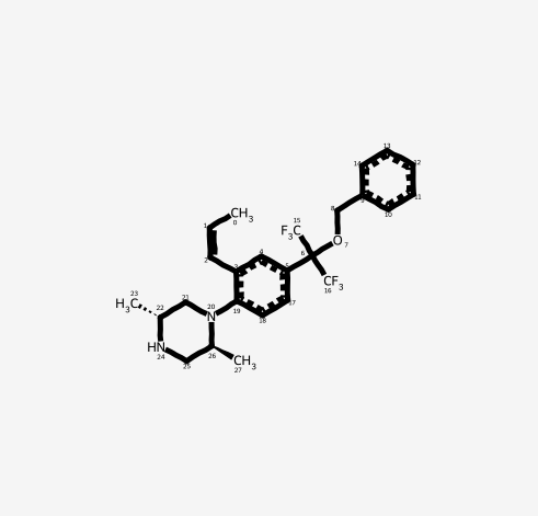 C/C=C\c1cc(C(OCc2ccccc2)(C(F)(F)F)C(F)(F)F)ccc1N1C[C@@H](C)NC[C@@H]1C